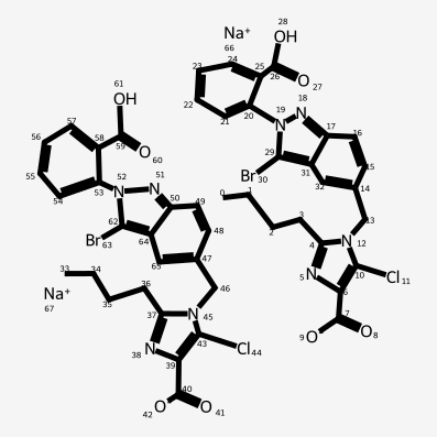 CCCCc1nc(C(=O)[O-])c(Cl)n1Cc1ccc2nn(-c3ccccc3C(=O)O)c(Br)c2c1.CCCCc1nc(C(=O)[O-])c(Cl)n1Cc1ccc2nn(-c3ccccc3C(=O)O)c(Br)c2c1.[Na+].[Na+]